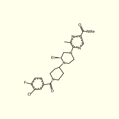 CC[C@H]1CN(c2ncc(C(=O)NC)nc2C)CCN1C1CCN(C(=O)c2ccc(F)c(Cl)c2)CC1